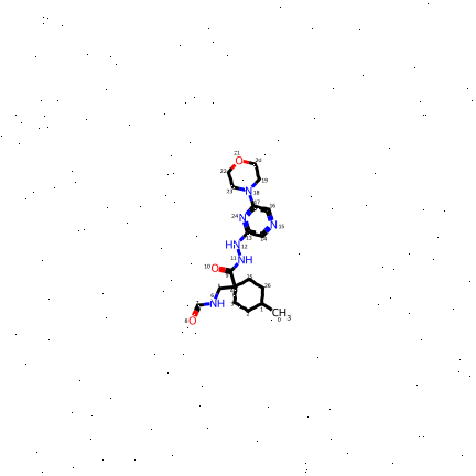 CC1CCC(CNC=O)(C(=O)NNc2cncc(N3CCOCC3)n2)CC1